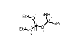 CCCC(N)O[SiH](OCC)OCC